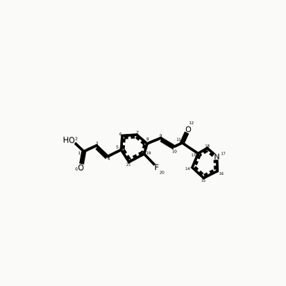 O=C(O)C=Cc1ccc(C=CC(=O)c2cccnc2)c(F)c1